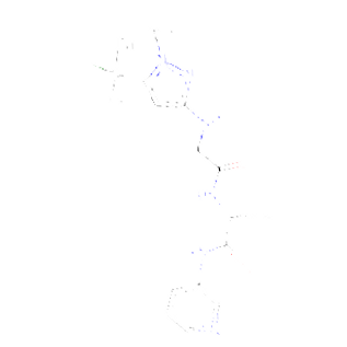 CC(NC(=O)CNc1cc([Si](F)(C(C)(C)C)C(C)(C)C)n(C)n1)C(=O)Nc1cccnc1